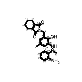 Cc1cc(CN2C(=O)C3=C(CCCC3)C2=O)c(O)c(NN(C)c2ccccc2N)c1